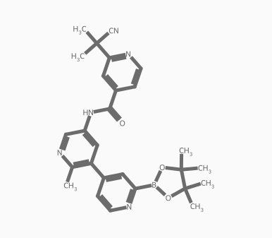 Cc1ncc(NC(=O)c2ccnc(C(C)(C)C#N)c2)cc1-c1ccnc(B2OC(C)(C)C(C)(C)O2)c1